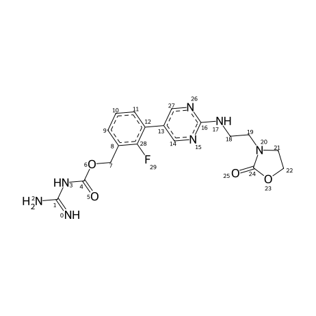 N=C(N)NC(=O)OCc1cccc(-c2cnc(NCCN3CCOC3=O)nc2)c1F